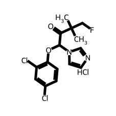 CC(C)(CF)C(=O)C(Oc1ccc(Cl)cc1Cl)n1ccnc1.Cl